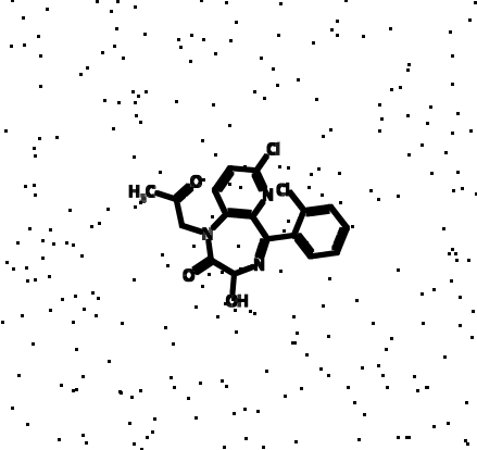 CC(=O)CN1C(=O)C(O)N=C(c2ccccc2Cl)c2nc(Cl)ccc21